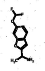 CC(N)c1cc2ccc(OC(F)F)cc2o1